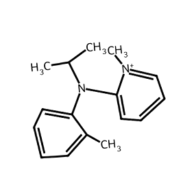 Cc1ccccc1N(c1cccc[n+]1C)C(C)C